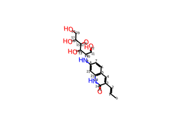 CC=Cc1cc2ccc(N[C@@H](C=O)[C@@H](O)[C@H](O)[C@H](O)CO)cc2[nH]c1=O